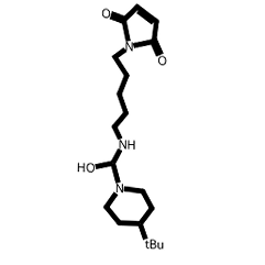 CC(C)(C)C1CCN(C(O)NCCCCCN2C(=O)C=CC2=O)CC1